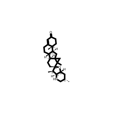 C[C@@H]1CN[C@H]2[C@@H](C)[C@@]3(CC[C@H]4[C@@H]5CCC6=CC(=O)CC[C@]6(C)[C@H]5CC45CC53C)O[C@@H]2C1